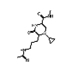 CNC(=O)C1CN(C2CC2)C(CCCNC(C)=N)C(=O)N1